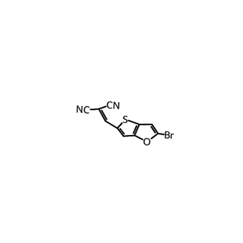 N#CC(C#N)=Cc1cc2oc(Br)cc2s1